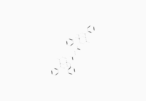 CCC1CN(OC(=O)CCC(=O)ON2CC(CC)C3CC2(Cc2ccccc2)C(CC)CC3c2ccccc2)C2(Cc3ccccc3)CC1C(c1ccccc1)CC2CC